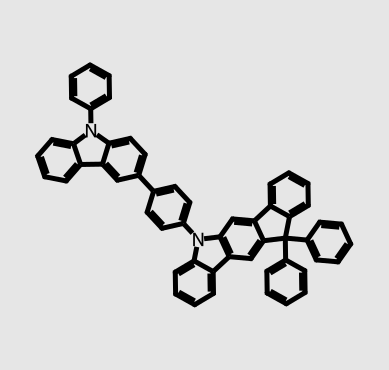 c1ccc(-n2c3ccccc3c3cc(-c4ccc(-n5c6ccccc6c6cc7c(cc65)-c5ccccc5C7(c5ccccc5)c5ccccc5)cc4)ccc32)cc1